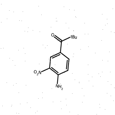 CC(C)(C)C(=O)c1ccc(N)c([N+](=O)[O-])c1